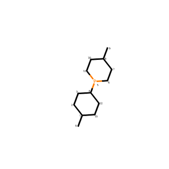 CC1CCC(P2CCC(C)CC2)CC1